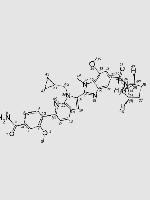 COc1cc(C(N)=O)ccc1-c1ccc2cc(-c3nc4cc(C(=O)N5C[C@H]6CC[C@@H]5[C@@H]6N)cc(OC)c4n3C)n(CC3CC3)c2n1